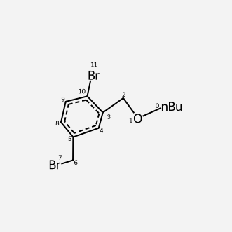 CCCCOCc1cc(CBr)ccc1Br